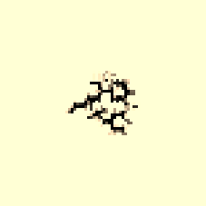 CCCCCC(CC)c1nccc(Nc2cc(OC(F)(F)F)ccn2)n1.Cl